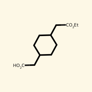 CCOC(=O)CC1CCC(CC(=O)O)CC1